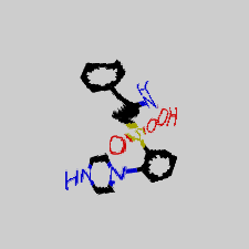 O=S(=O)(CC(NO)c1ccccc1)c1ccccc1N1CCNCC1